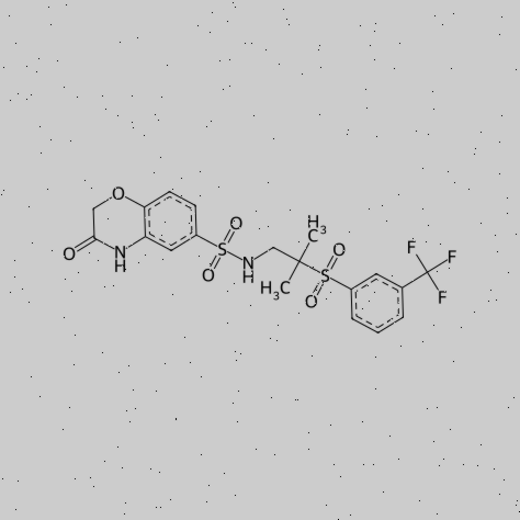 CC(C)(CNS(=O)(=O)c1ccc2c(c1)NC(=O)CO2)S(=O)(=O)c1cccc(C(F)(F)F)c1